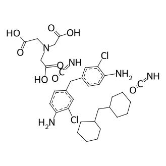 C1CCC(CC2CCCCC2)CC1.N=C=O.N=C=O.Nc1ccc(Cc2ccc(N)c(Cl)c2)cc1Cl.O=C(O)CN(CC(=O)O)CC(=O)O